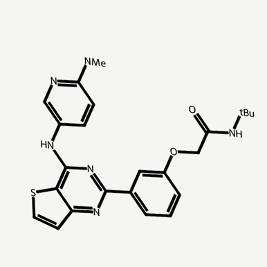 CNc1ccc(Nc2nc(-c3cccc(OCC(=O)NC(C)(C)C)c3)nc3ccsc23)cn1